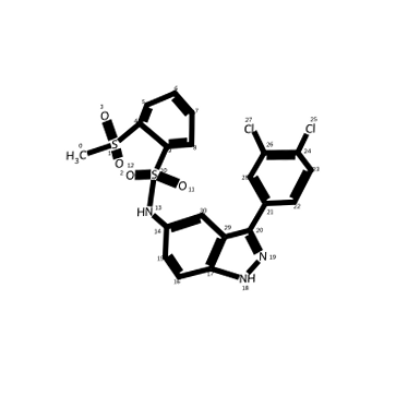 CS(=O)(=O)c1ccccc1S(=O)(=O)Nc1ccc2[nH]nc(-c3ccc(Cl)c(Cl)c3)c2c1